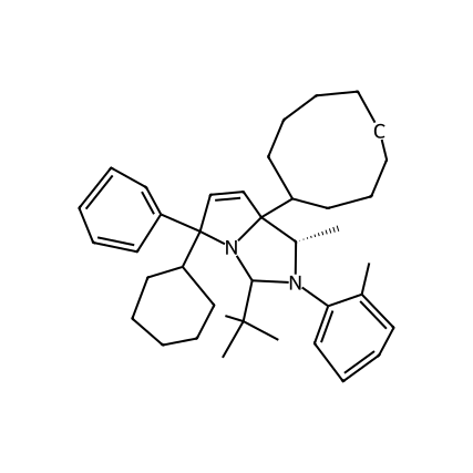 Cc1ccccc1N1C(C(C)(C)C)N2C(c3ccccc3)(C3CCCCC3)C=CC2(C2CCCCCCCC2)[C@@H]1C